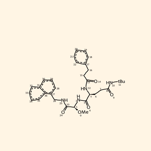 CO[C@H](NC(=O)[C@H](CCC(=O)NC(C)(C)C)NC(=O)CCc1ccccc1)C(=O)NCc1cccc2ccccc12